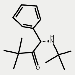 CC(C)(C)N[C@H](C(=O)C(C)(C)C)c1ccccc1